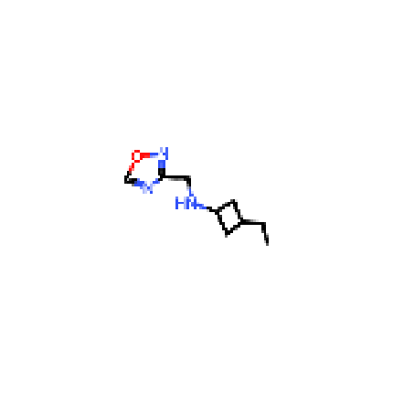 CCC1CC(NCc2ncon2)C1